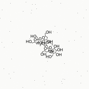 CC(C)(OCC1(OC2OC(CO)C(O)C(O)C2O)OC(CO)CC1O)C1(COC2(CO)OC(CO)CC2O)OC(CO)CC1O